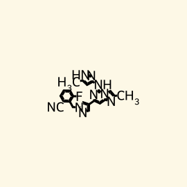 Cc1cn2c(Nc3cc(C)[nH]n3)nc(-c3cnn(Cc4c(F)cccc4C#N)c3)cc2n1